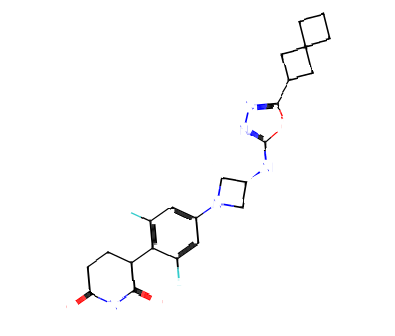 C[C@@H]1[C@@H](Nc2nnc(C3CC4(CCC4)C3)o2)CN1c1cc(F)c(C2CCC(=O)NC2=O)c(F)c1